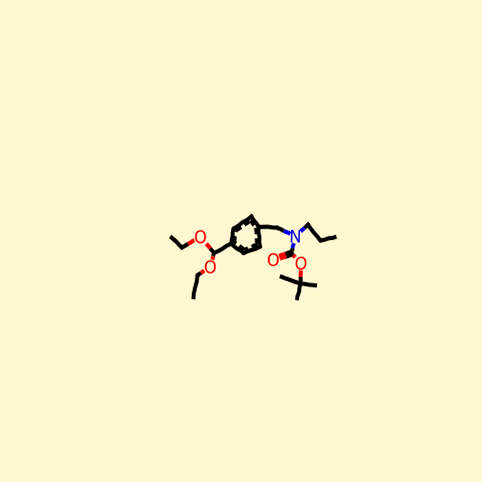 CCCN(Cc1ccc(C(OCC)OCC)cc1)C(=O)OC(C)(C)C